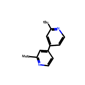 CNc1cc(-c2ccnc(C(C)(C)C)c2)ccn1